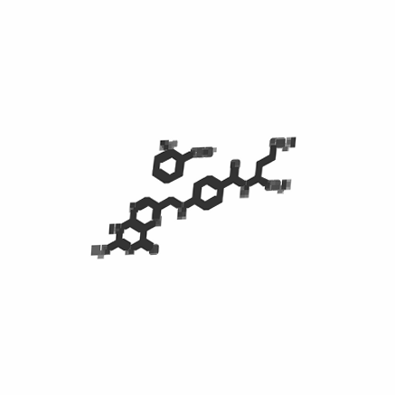 Nc1nc(=O)c2nc(CNc3ccc(C(=O)N[C@@H](CCC(=O)O)C(=O)O)cc3)cnc2[nH]1.O=C([O-])c1ccccc1.[Na+]